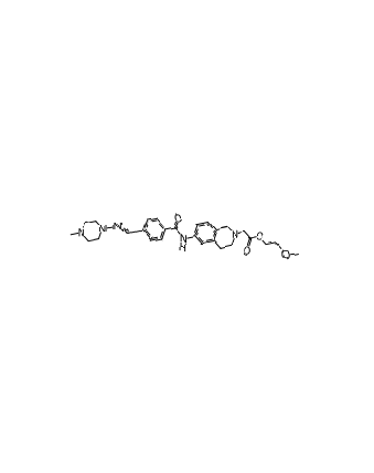 COCCOC(=O)CN1CCc2cc(NC(=O)c3ccc(/C=N/N4CCN(C)CC4)cc3)ccc2C1